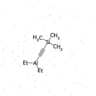 C[CH2][Al]([C]#C[Si](C)(C)C)[CH2]C